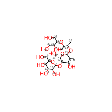 CC1C(O)[C@H](O[C@@H]2OC(CO)[C@H](O)C(O)[C@@H]2O)[C@H](CO)O[C@H]1O[C@H](C)[C@@H](C)OC(CO)[C@@H](O)CO